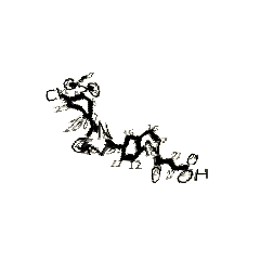 CS(=O)(=O)c1cc(-c2nc(-c3ccc4c(c3)CCN4C(=O)CCC(=O)O)no2)ccc1Cl